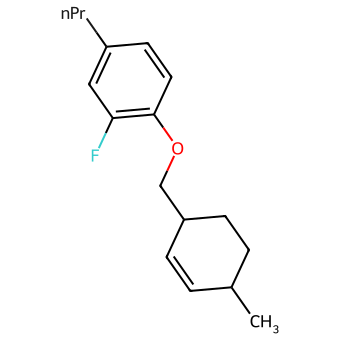 CCCc1ccc(OCC2C=CC(C)CC2)c(F)c1